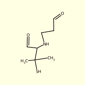 CC(C)(S)C(C=O)NCCC=O